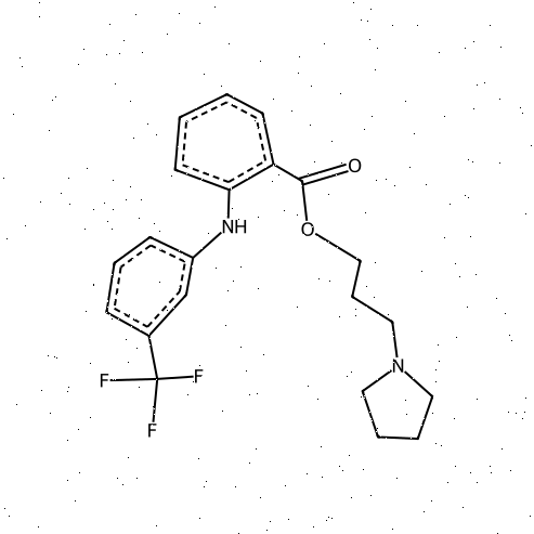 O=C(OCCCN1CCCC1)c1ccccc1Nc1cccc(C(F)(F)F)c1